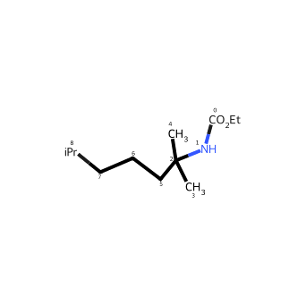 CCOC(=O)NC(C)(C)CCCC(C)C